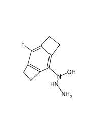 NNN(O)c1c2c(c(F)c3c1CC3)CC2